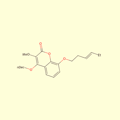 CC/C=C/CCOc1cccc2c(OCCCCCCCCCC)c(OC)c(=O)oc12